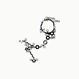 CO[C@H]1/C=C/O[C@@]2(C)Oc3c(C)c(O)c4c(=O)c(c5oc6cc(N7CCN(C(=O)OCc8ccc(NC(=O)[C@H](CCCNC(N)=O)NC(=O)C9(C(=O)NCCCCCN%10C(=O)C=CC%10=O)CCC9)cc8)CC7)cc(O)c6nc-5c4c3C2=O)NC(=O)/C(C)=C\C=C\[C@H](C)C[C@@H](C)[C@@H](O)[C@@H](C)[C@H](OC(C)=O)[C@@H]1C